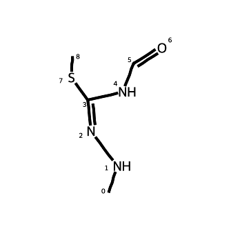 CN/N=C(\NC=O)SC